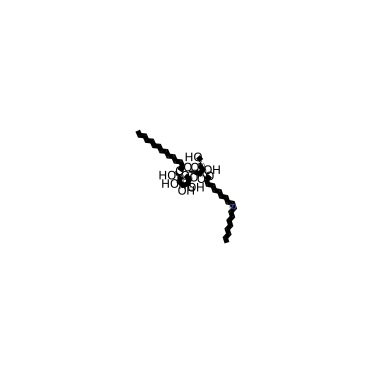 CCCCCCCC/C=C\CCCCCCCC(=O)O[C@H]1[C@H](O)[C@@H](CO)O[C@@]1(COC(=O)CCCCCCCCCCCCC)O[C@H]1O[C@H](CO)[C@@H](O)[C@H](O)[C@H]1O